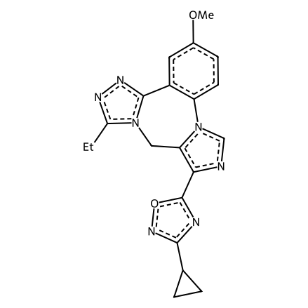 CCc1nnc2n1Cc1c(-c3nc(C4CC4)no3)ncn1-c1ccc(OC)cc1-2